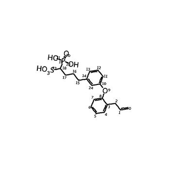 C=CCc1ccccc1Oc1cccc(CCCC(P(=O)(O)O)S(=O)(=O)O)c1